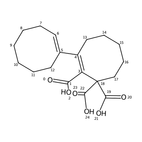 O=C(O)C1=C(C2=CCCCCCC2)CCCCCC1(C(=O)O)C(=O)O